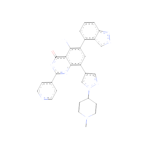 CN1CCC(n2cc(-c3cc(-c4cccc5[nH]ncc45)c(N)c4c(=O)[nH]c(-c5ccncc5)nc34)cn2)CC1